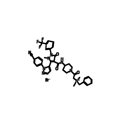 Cn1c(-c2ccnn2-c2ccc(C#N)cc2)c(C(=O)NC2CCN(C(=O)C[N+](C)(C)Cc3ccccc3)CC2)c(=O)n1-c1cccc(C(F)(F)F)c1.[Br-]